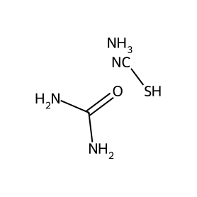 N.N#CS.NC(N)=O